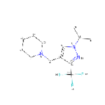 CC(C)n1cc(CN2CCCCC2)c(C(F)(F)F)n1